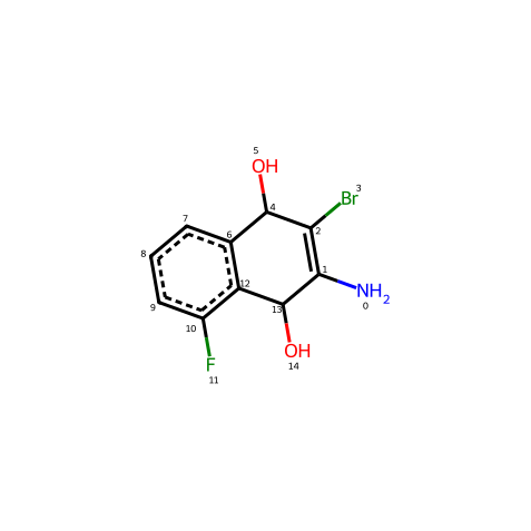 NC1=C(Br)C(O)c2cccc(F)c2C1O